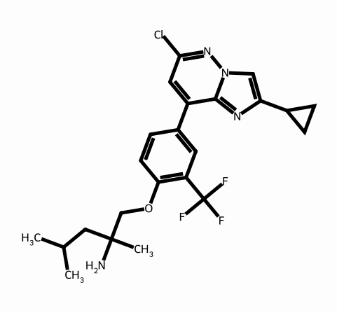 CC(C)CC(C)(N)COc1ccc(-c2cc(Cl)nn3cc(C4CC4)nc23)cc1C(F)(F)F